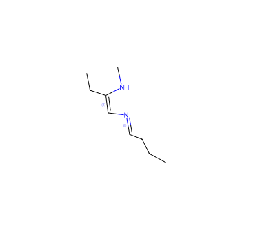 CCC/C=N/C=C(/CC)NC